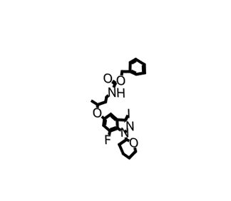 CC(CCNC(=O)OCc1ccccc1)Oc1cc(F)c2c(c1)c(I)nn2C1CCCCO1